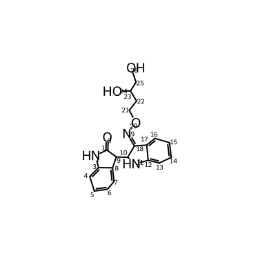 O=C1Nc2ccccc2C1C1Nc2ccccc2/C1=N\OCCC(O)CO